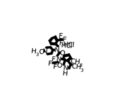 CN1CCC(N(Cc2ccccc2C(F)(F)F)C(=O)CN(C(=O)C(F)(F)F)c2cccc3c2CNCC3(C)C)CC1.Cl.Cl